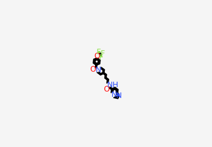 O=C(NCCCCC1CCN(C(=O)c2ccc(OC(F)(F)F)cc2)CC1)c1ccc2nccn2c1